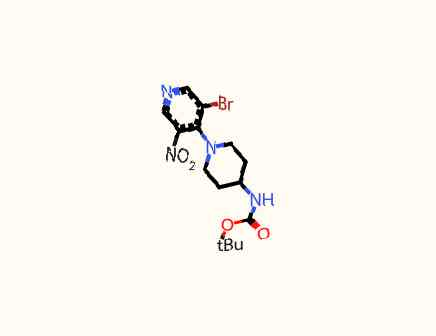 CC(C)(C)OC(=O)NC1CCN(c2c(Br)cncc2[N+](=O)[O-])CC1